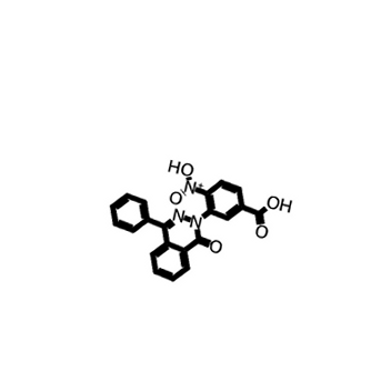 O=C(O)c1ccc([N+](=O)O)c(-n2nc(-c3ccccc3)c3ccccc3c2=O)c1